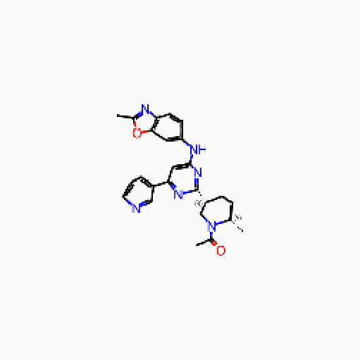 CC(=O)N1C[C@H](c2nc(Nc3ccc4nc(C)oc4c3)cc(-c3cccnc3)n2)CC[C@@H]1C